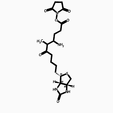 CC(C(=O)CCCC[C@@H]1SC[C@@H]2NC(=O)N[C@@H]21)C(N)CCC(=O)ON1C(=O)CCC1=O